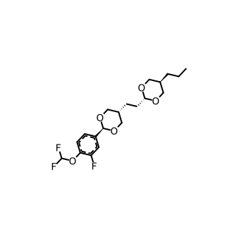 CCC[C@H]1CO[C@H](CC[C@H]2CO[C@H](c3ccc(OC(F)F)c(F)c3)OC2)OC1